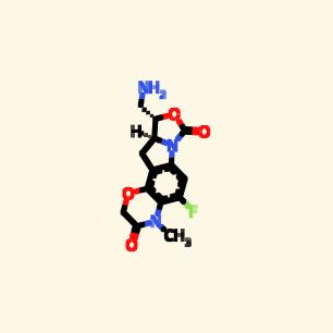 CN1C(=O)COc2c3c(cc(F)c21)N1C(=O)O[C@@H](CN)[C@@H]1C3